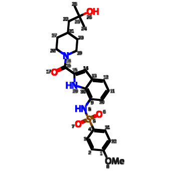 COc1ccc(S(=O)(=O)Nc2cccc3cc(C(=O)N4CCC(CC(C)(C)O)CC4)[nH]c23)cc1